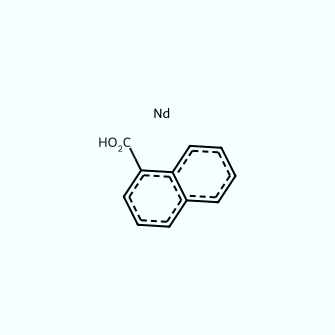 O=C(O)c1cccc2ccccc12.[Nd]